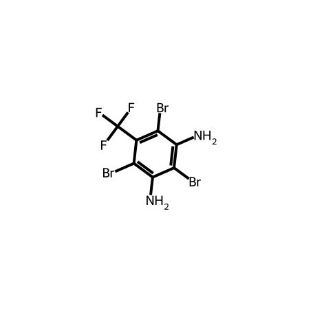 Nc1c(Br)c(N)c(Br)c(C(F)(F)F)c1Br